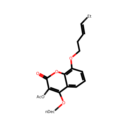 CCC=CCCOc1cccc2c(OCCCCCCCCCC)c(OC(C)=O)c(=O)oc12